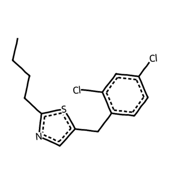 CCCCc1ncc(Cc2ccc(Cl)cc2Cl)s1